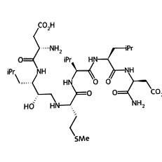 CSCC[C@H](NC[C@H](O)[C@H](CC(C)C)NC(=O)[C@@H](N)CC(=O)O)C(=O)N[C@H](C(=O)N[C@@H](CC(C)C)C(=O)N[C@@H](CC(=O)O)C(N)=O)C(C)C